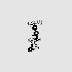 Cc1noc(-c2ccc(-c3ccc(C(C)C(=O)O)cc3)cc2)c1NC(=O)OCCc1ccccc1F